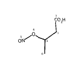 CC(CC(=O)O)ON=O